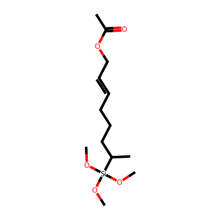 CO[Si](OC)(OC)C(C)CCCC=CCOC(C)=O